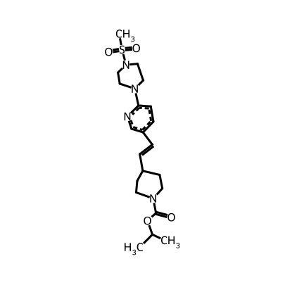 CC(C)OC(=O)N1CCC(C=Cc2ccc(N3CCN(S(C)(=O)=O)CC3)nc2)CC1